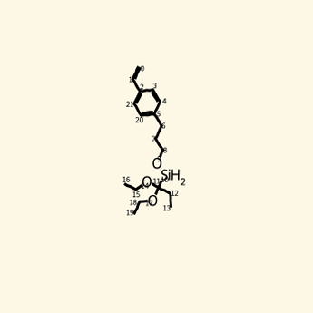 C=Cc1ccc(CCCO[SiH2]C(CC)(OCC)OCC)cc1